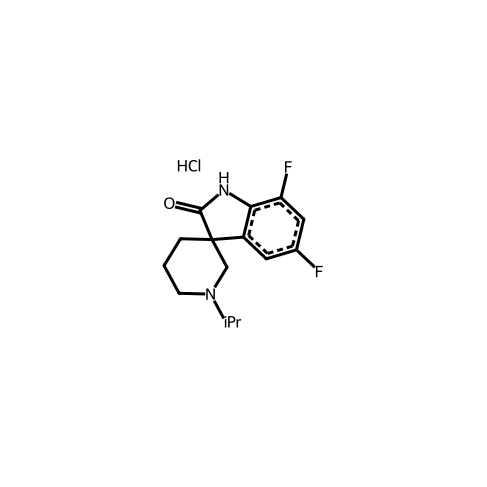 CC(C)N1CCCC2(C1)C(=O)Nc1c(F)cc(F)cc12.Cl